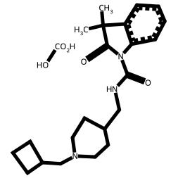 CC1(C)C(=O)N(C(=O)NCC2CCN(CC3CCC3)CC2)c2ccccc21.O=C(O)O